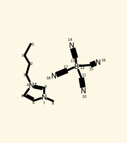 CCCC[n+]1ccn(C)c1.N#C[B-](C#N)(C#N)C#N